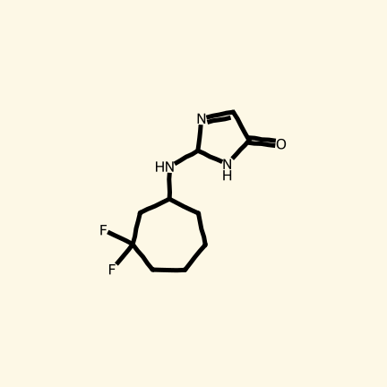 O=C1C=NC(NC2CCCCC(F)(F)C2)N1